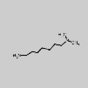 CN(C)CCC[CH]CCCN